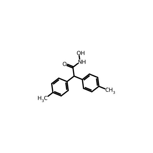 Cc1ccc(C(C(=O)NO)c2ccc(C)cc2)cc1